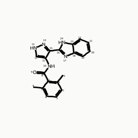 Cc1cccc(C)c1C(=O)Nc1c[nH]nc1-c1nc2ccccc2[nH]1